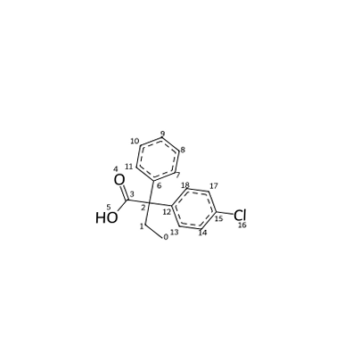 CCC(C(=O)O)(c1ccccc1)c1ccc(Cl)cc1